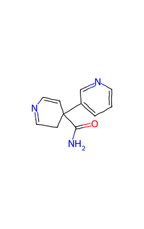 NC(=O)C1(c2cccnc2)C=CN=CC1